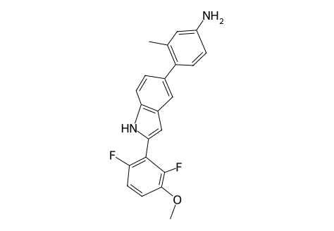 COc1ccc(F)c(-c2cc3cc(-c4ccc(N)cc4C)ccc3[nH]2)c1F